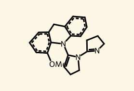 COc1cccc2c1N(C1=CCCN1C1=NCCC1)c1ccccc1C2